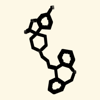 COC(=O)C1(c2ccc(Cl)cc2)CCN(CCC=C2c3ccccc3COc3ccccc32)CC1